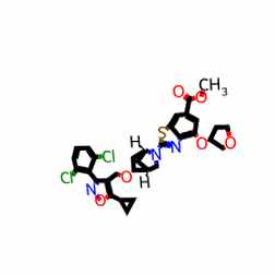 COC(=O)c1cc(O[C@@H]2CCOC2)c2nc(N3C[C@@H]4C[C@H]3C[C@@H]4OCc3c(-c4c(Cl)cccc4Cl)noc3C3CC3)sc2c1